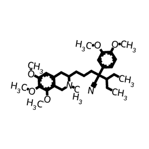 CCC(CC)C(C#N)(CCCC1Cc2cc(OC)c(OC)c(OC)c2CN1C)c1ccc(OC)c(OC)c1